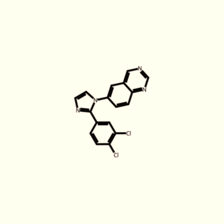 Clc1ccc(-c2nccn2-c2ccc3ncncc3c2)cc1Cl